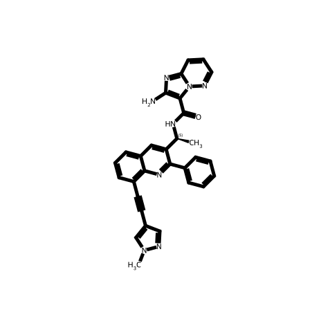 C[C@H](NC(=O)c1c(N)nc2cccnn12)c1cc2cccc(C#Cc3cnn(C)c3)c2nc1-c1ccccc1